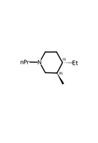 CCCN1CC[C@H](CC)[C@@H](C)C1